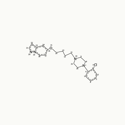 Clc1ccccc1N1CCN(CCCCOc2ccn3nccc3c2)CC1